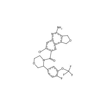 Nc1nc2cc(Cl)c(C(=O)N3CCOCC3c3ccc(F)c(OC(F)(F)F)c3)cc2c2c1COC2